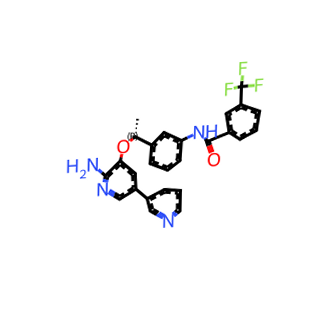 C[C@@H](Oc1cc(-c2cccnc2)cnc1N)c1cccc(NC(=O)c2cccc(C(F)(F)F)c2)c1